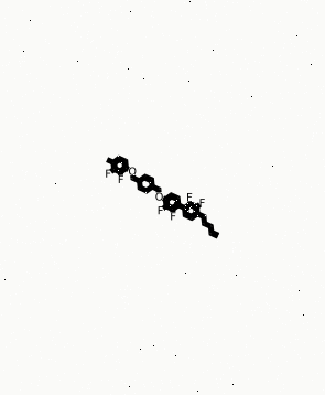 C=CCCCc1ccc(-c2ccc(OCC3C=CC(COc4ccc(C)c(F)c4F)CC3)c(F)c2F)c(F)c1F